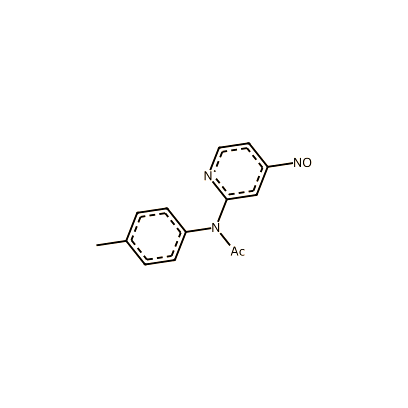 CC(=O)N(c1ccc(C)cc1)c1cc(N=O)ccn1